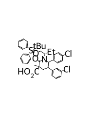 CC[C@@H](CO[Si](c1ccccc1)(c1ccccc1)C(C)(C)C)N1C(=O)C(C)(C(=O)O)CC(c2cccc(Cl)c2)C1c1ccc(Cl)cc1